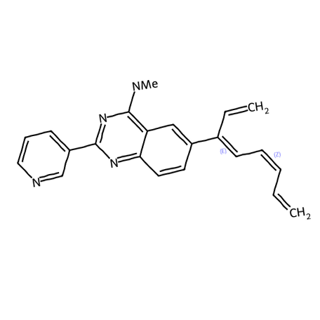 C=C/C=C\C=C(/C=C)c1ccc2nc(-c3cccnc3)nc(NC)c2c1